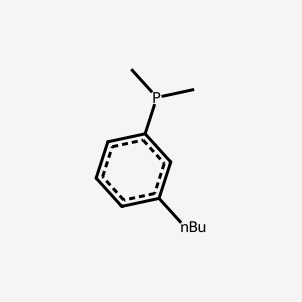 CCCCc1cccc(P(C)C)c1